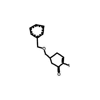 O=C1CC(COCc2ccccc2)CC=C1I